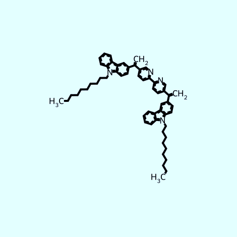 C=C(c1ccc(-c2ccc(C(=C)c3ccc4c(c3)c3ccccc3n4CCCCCCCCCC)cn2)nc1)c1ccc2c(c1)c1ccccc1n2CCCCCCCCCC